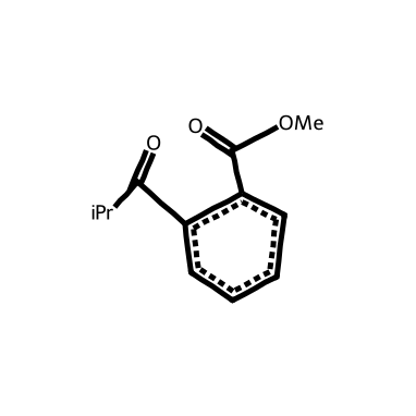 COC(=O)c1ccccc1C(=O)C(C)C